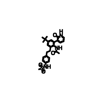 CC(=O)Nc1c(CCc2ccc(NS(C)(=O)=O)cc2)cc(C(C)(C)C)cc1-c1ccc[nH]c1=O